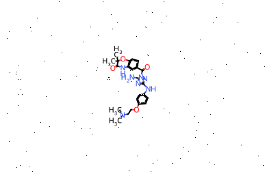 CN(C)CCOc1ccc(Nc2nc(N)n(C(=O)c3ccc4c(c3)NC(=O)C(C)(C)O4)n2)cc1